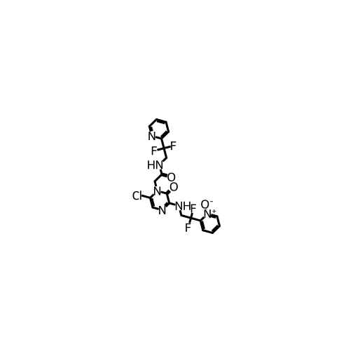 O=C(Cn1c(Cl)cnc(NCC(F)(F)c2cccc[n+]2[O-])c1=O)NCC(F)(F)c1ccccn1